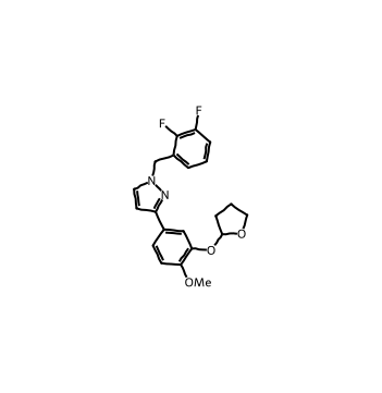 COc1ccc(-c2ccn(Cc3cccc(F)c3F)n2)cc1OC1CCCO1